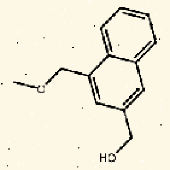 COCc1cc(CO)cc2ccccc12